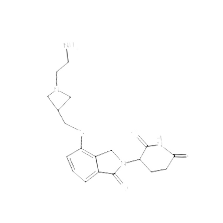 NCCN1CC(CNc2cccc3c2CN(C2CCC(=O)NC2=O)C3=O)C1